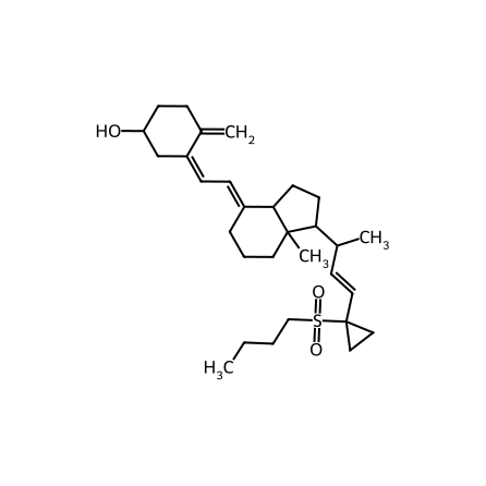 C=C1CCC(O)C/C1=C/C=C1\CCCC2(C)C1CCC2C(C)/C=C/C1(S(=O)(=O)CCCC)CC1